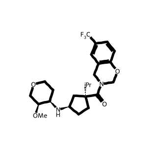 CO[C@H]1COCC[C@H]1N[C@@H]1CC[C@@](C(=O)N2COc3ccc(C(F)(F)F)cc3C2)(C(C)C)C1